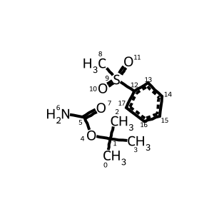 CC(C)(C)OC(N)=O.CS(=O)(=O)c1ccccc1